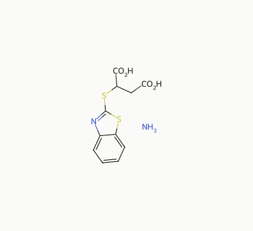 N.O=C(O)CC(Sc1nc2ccccc2s1)C(=O)O